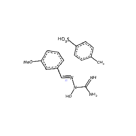 COc1cccc(/C=N/N(O)C(=N)N)c1.Cc1ccc(S(=O)(=O)O)cc1